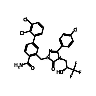 NC(=O)c1ccc(-c2cccc(Cl)c2Cl)cc1Cn1nc(-c2ccc(Cl)cc2)n(C[C@H](O)C(F)(F)F)c1=O